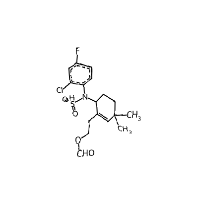 CC1(C)C=C(CCOC=O)C(N(c2ccc(F)cc2Cl)[SH](=O)=O)CC1